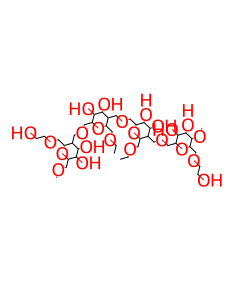 CCOCC1OC(COCC2C(COCCO)OC(COC)C(O)C2O)C(O)C(O)C1COCC1OC(COCC)C(COCC2OC(COCCO)C(OC)C(O)C2O)C(O)C1O